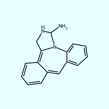 NC1NCC2=c3ccccc3=Cc3ccccc3N21